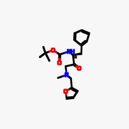 CN(CC(=O)[C@H](Cc1ccccc1)NC(=O)OC(C)(C)C)Cc1ccco1